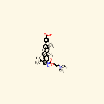 CC(C)C1CC[C@]2(NC(=O)OCCCN(C)C)CC[C@]3(C)[C@H](CC[C@@H]4[C@@]5(C)CC[C@@H](c6ccc(C(=O)O)cc6)C(C)(C)[C@@H]5CC[C@]43C)[C@@H]12